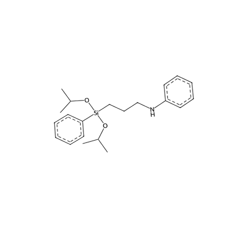 CC(C)O[Si](CCCNc1ccccc1)(OC(C)C)c1ccccc1